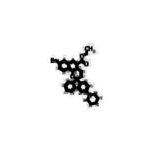 CCOC(=O)c1cc2cc(Br)ccc2c2c1C=CC(c1ccccc1)(c1ccc(N3CCCCC3)cc1)O2